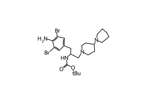 CC(C)(C)OC(=O)NC(Cc1cc(Br)c(N)c(Br)c1)CN1CCC(N2CCCCC2)CC1